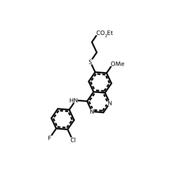 CCOC(=O)CCSc1cc2c(Nc3ccc(F)c(Cl)c3)ncnc2cc1OC